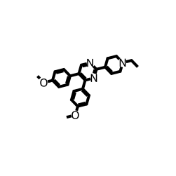 CCN1CC=C(c2ncc(-c3ccc(OC)cc3)c(-c3ccc(OC)cc3)n2)CC1